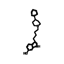 Oc1ccc2c(CCCCN3CCC(c4ccccc4)CC3)c[nH]c2c1